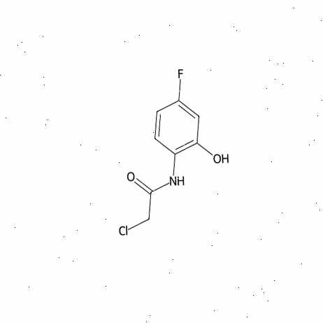 O=C(CCl)Nc1ccc(F)cc1O